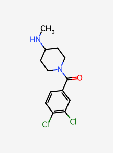 CNC1CCN(C(=O)c2ccc(Cl)c(Cl)c2)CC1